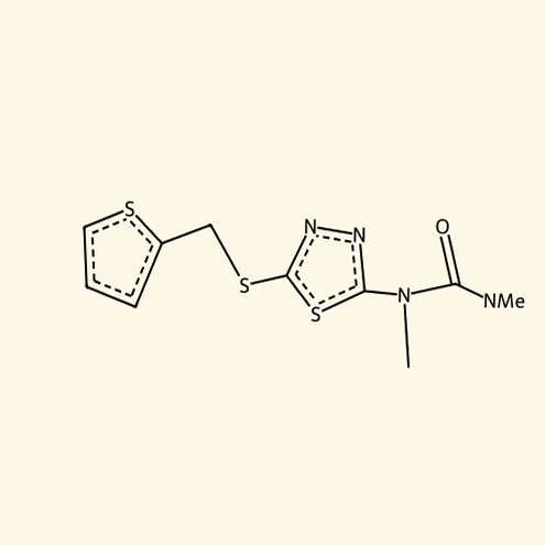 CNC(=O)N(C)c1nnc(SCc2cccs2)s1